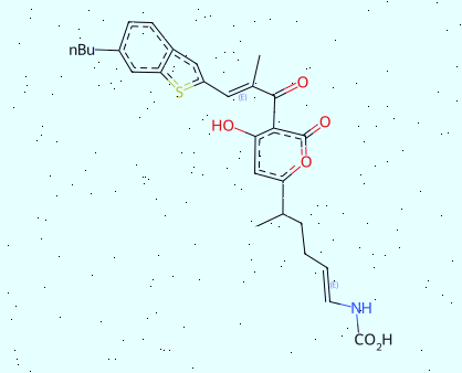 CCCCc1ccc2cc(/C=C(\C)C(=O)c3c(O)cc(C(C)CC/C=C/NC(=O)O)oc3=O)sc2c1